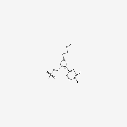 COCCN1C[C@@H](COS(C)(=O)=O)[C@H](c2ccc(F)c(F)c2)C1